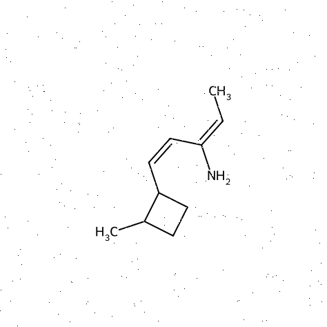 C/C=C(N)\C=C/C1CCC1C